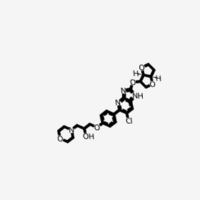 OC(COc1ccc(-c2nc3nc(OC4CO[C@@H]5CCO[C@H]45)[nH]c3cc2Cl)cc1)CN1CCOCC1